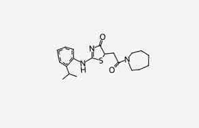 CC(C)c1ccccc1NC1=NC(=O)C(CC(=O)N2CCCCCC2)S1